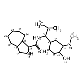 C=C(NC(C(C)C)C1CCC(O)C(SC)C1)C1NCC2CCCCCC21